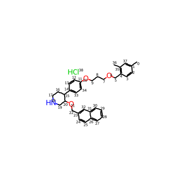 Cc1ccc(COCCCOc2ccc(C3CCNCC3OCc3ccc4ccccc4c3)cc2)c(C)c1.Cl